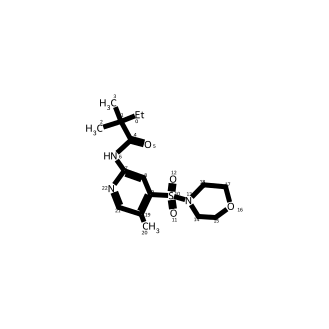 CCC(C)(C)C(=O)Nc1cc(S(=O)(=O)N2CCOCC2)c(C)cn1